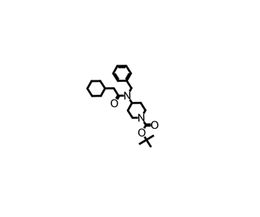 CC(C)(C)OC(=O)N1CCC(N(Cc2ccccc2)C(=O)CC2CCCCC2)CC1